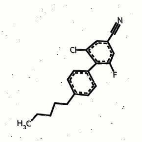 CCCCCc1ccc(-c2c(F)cc(C#N)cc2Cl)cc1